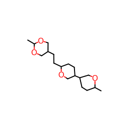 CC1CCC(C2CCC(CCC3COC(C)OC3)OC2)CO1